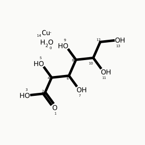 O.O=C(O)C(O)C(O)C(O)C(O)CO.[Cu]